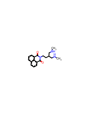 CNCC(CCN1C(=O)c2cccc3cccc(c23)C1=O)CNC